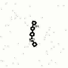 c1ccc(-c2nnc(-c3ccc(-c4ccc5c(c4)[nH]c4ccccc45)cc3)o2)cc1